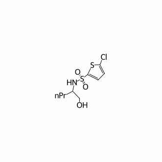 CCCC(CO)NS(=O)(=O)c1ccc(Cl)s1